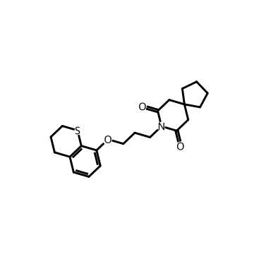 O=C1CC2(CCCC2)CC(=O)N1CCCOc1cccc2c1SCCC2